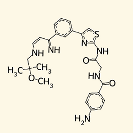 COC(C)(C)CN/C=C\C(=N)c1cccc(-c2csc(NC(=O)CNC(=O)c3ccc(N)cc3)n2)c1